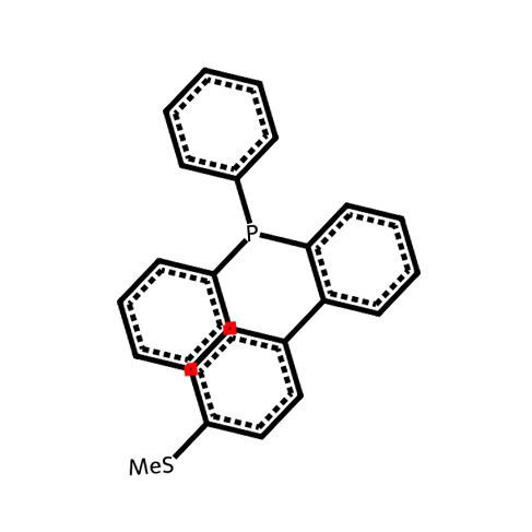 CSc1ccc(-c2ccccc2P(c2ccccc2)c2ccccc2)cc1